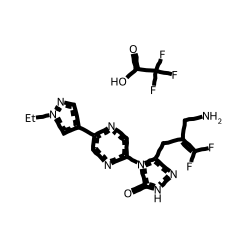 CCn1cc(-c2cnc(-n3c(CC(CN)=C(F)F)n[nH]c3=O)cn2)cn1.O=C(O)C(F)(F)F